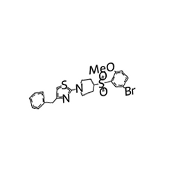 COc1ccc(Br)cc1S(=O)(=O)C1CCN(c2nc(Cc3ccccc3)cs2)CC1